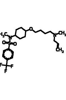 C=CCN(C)CCCCOC1CCC(N(C)S(=O)(=O)c2ccc(C(F)(F)F)cc2)CC1